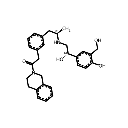 C[C@H](Cc1cccc(CC(=O)N2CCc3ccccc3C2)c1)NC[C@@H](O)c1ccc(O)c(CO)c1